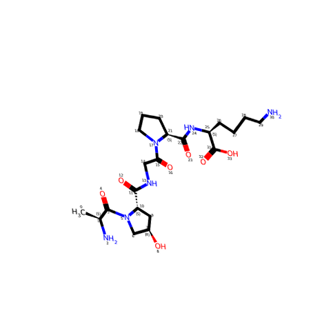 C[C@H](N)C(=O)N1C[C@H](O)C[C@H]1C(=O)NCC(=O)N1CCC[C@H]1C(=O)N[C@@H](CCCCN)C(=O)O